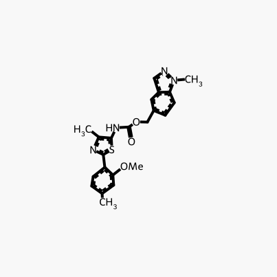 COc1cc(C)ccc1-c1nc(C)c(NC(=O)OCc2ccc3c(cnn3C)c2)s1